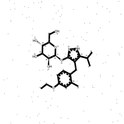 CCOc1ccc(Cc2c(O[C@@H]3OC(CO)[C@@H](O)C(O)[C@@H]3O)n[nH]c2C(C)C)c(C)c1